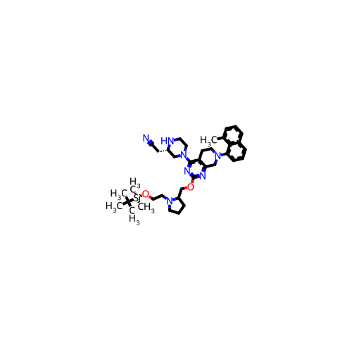 Cc1cccc2cccc(N3CCc4c(nc(OCC5CCCN5CCO[Si](C)(C)C(C)(C)C)nc4N4CCN[C@@H](CC#N)C4)C3)c12